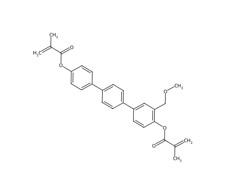 C=C(C)C(=O)Oc1ccc(-c2ccc(-c3ccc(OC(=O)C(=C)C)c(COC)c3)cc2)cc1